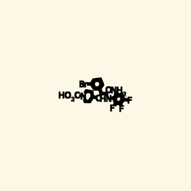 Nc1cc(F)c(F)c(F)c1NC(=O)C(OC1CCN(C(=O)O)CC1)c1cccc(Br)c1